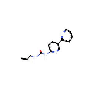 C=CCNC(=O)Nc1ccc(-c2ccccn2)cn1